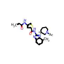 C=CC(=O)Nc1csc(C(=O)Nc2nc3cccc(C)c3n2[C@@H]2CCCCN(C(C)=O)C2)c1